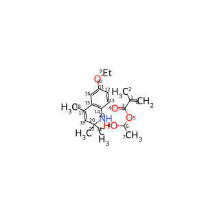 C=C(C)C(=O)OC(C)O.CCOc1ccc2c(c1)C(C)=CC(C)(C)N2